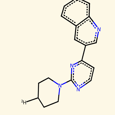 [2H]C1CCN(c2nccc(-c3cnc4ccccc4c3)n2)CC1